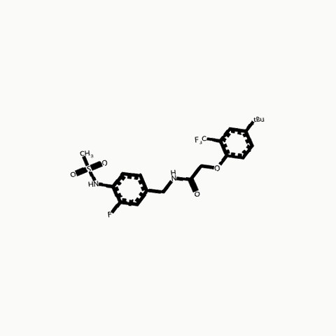 CC(C)(C)c1ccc(OCC(=O)NCc2ccc(NS(C)(=O)=O)c(F)c2)c(C(F)(F)F)c1